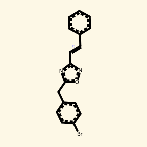 Brc1ccc(Cc2nc(/C=C/c3ccccc3)no2)cc1